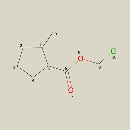 CC1CCCC1C(=O)OCCl